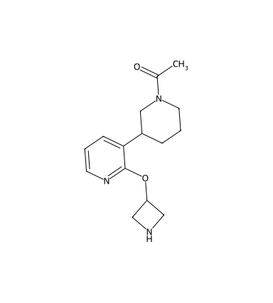 CC(=O)N1CCCC(c2cccnc2OC2CNC2)C1